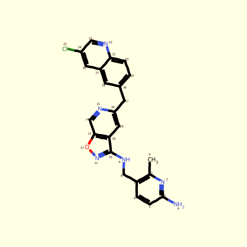 Cc1nc(N)ccc1CNc1noc2cnc(Cc3ccc4ncc(Cl)cc4c3)cc12